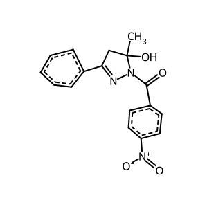 CC1(O)CC(c2ccccc2)=NN1C(=O)c1ccc([N+](=O)[O-])cc1